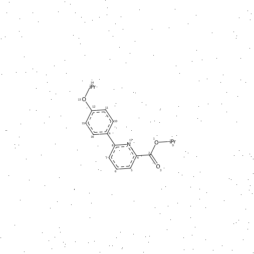 CC(C)OC(=O)c1cccc(-c2ccc(OC(C)C)cc2)n1